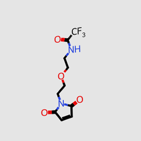 O=C1C=CC(=O)N1CCOCCNC(=O)C(F)(F)F